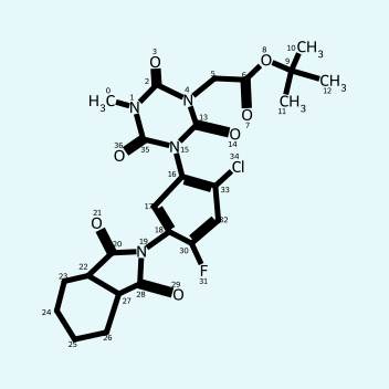 Cn1c(=O)n(CC(=O)OC(C)(C)C)c(=O)n(-c2cc(N3C(=O)C4CCCCC4C3=O)c(F)cc2Cl)c1=O